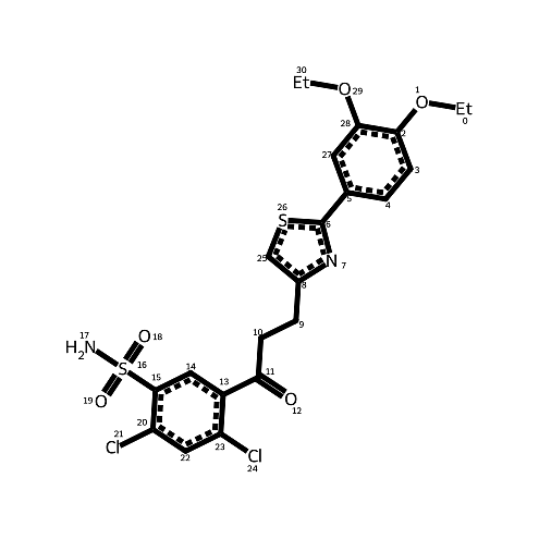 CCOc1ccc(-c2nc(CCC(=O)c3cc(S(N)(=O)=O)c(Cl)cc3Cl)cs2)cc1OCC